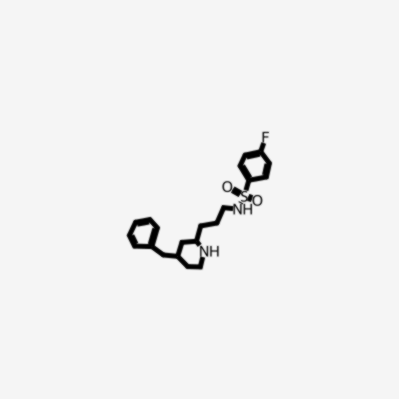 O=S(=O)(NCCCC1CC(Cc2ccccc2)CCN1)c1ccc(F)cc1